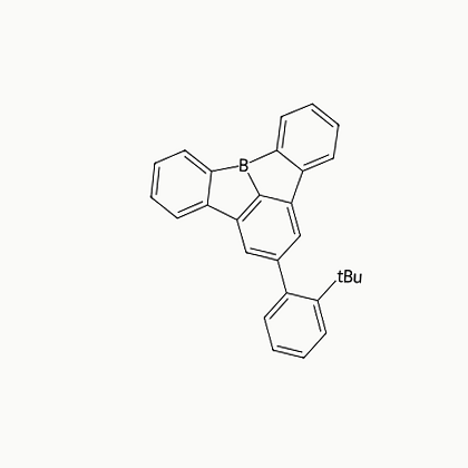 CC(C)(C)c1ccccc1-c1cc2c3c(c1)-c1ccccc1B3c1ccccc1-2